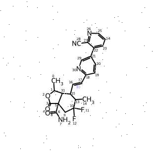 CC1OC(=O)C2(C(N)=O)CC(F)(F)C(C)C(/C=C/c3ccc(-c4cccnc4C#N)cn3)C12